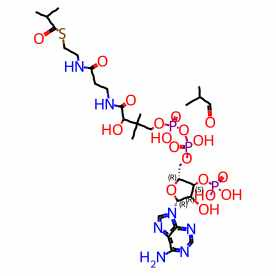 CC(C)C(=O)SCCNC(=O)CCNC(=O)C(O)C(C)(C)COP(=O)(O)OP(=O)(O)OC[C@H]1O[C@@H](n2cnc3c(N)ncnc32)[C@H](O)[C@@H]1OP(=O)(O)O.CC(C)C=O